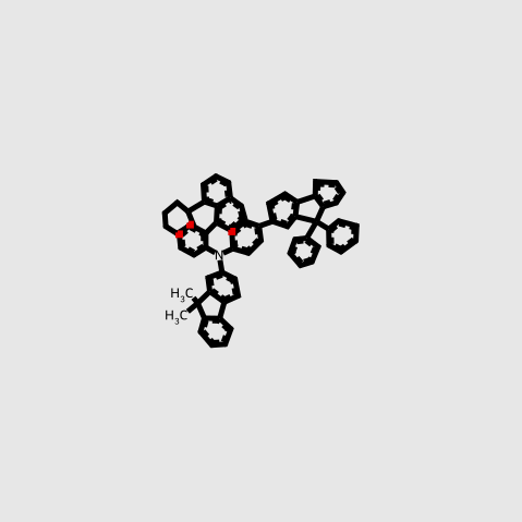 CC1(C)c2ccccc2-c2ccc(N(c3ccc(-c4ccc5c(c4)C(c4ccccc4)(c4ccccc4)c4ccccc4-5)cc3)c3ccccc3-c3cccc4cccc(C5CCCCC5)c34)cc21